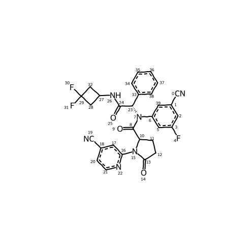 N#Cc1cc(F)cc(N(C(=O)C2CCC(=O)N2c2cc(C#N)ccn2)[C@H](C(=O)NC2CC(F)(F)C2)c2ccccc2)c1